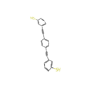 Sc1cccc(C#Cc2ccc(C#Cc3cccc(S)c3)cc2)c1